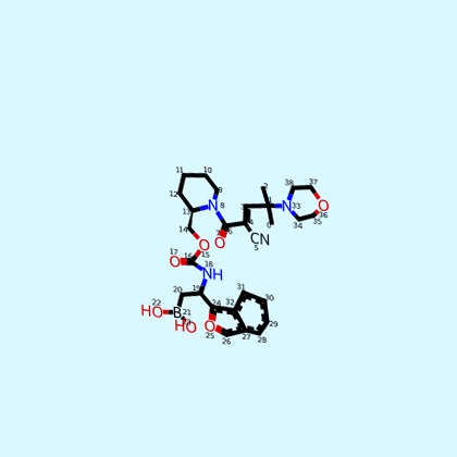 CC(C)(C=C(C#N)C(=O)N1CCCC[C@@H]1COC(=O)NC(CB(O)O)c1occ2ccccc12)N1CCOCC1